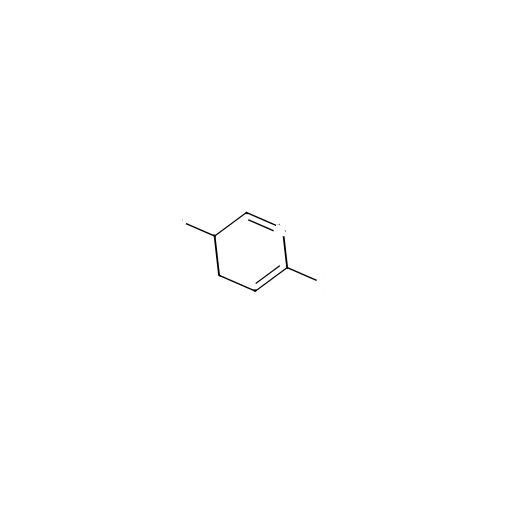 CC1=CCC(O)C=N1